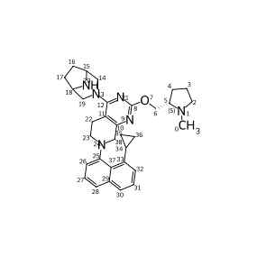 CN1CCC[C@H]1COc1nc2c(c(N3CC4CCC(C3)N4)n1)CCN(c1cccc3cccc(C4CC4)c13)C2